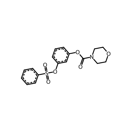 O=C(Oc1cccc(OS(=O)(=O)c2ccccc2)c1)N1CCOCC1